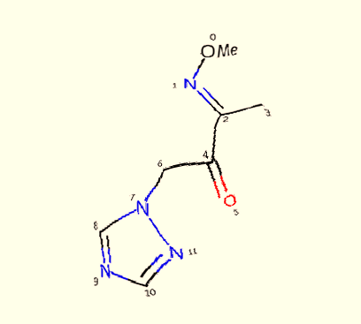 CON=C(C)C(=O)Cn1cncn1